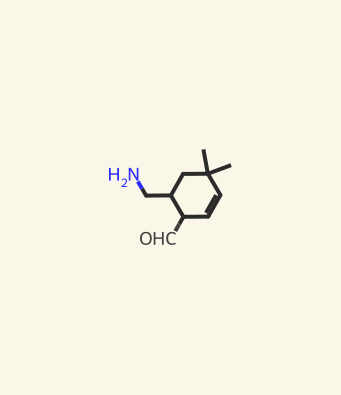 CC1(C)C=CC(C=O)C(CN)C1